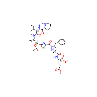 CCC(C)[C@H](NC(=O)C1CCCCN1C)C(=O)N(C)[C@H](C[C@@H](OC(C)=O)c1nc(C(=O)NC(Cc2ccccc2)C[C@H](C)C(=O)N[C@@H](CCC(=O)OC)C(=O)OC)cs1)C(C)C